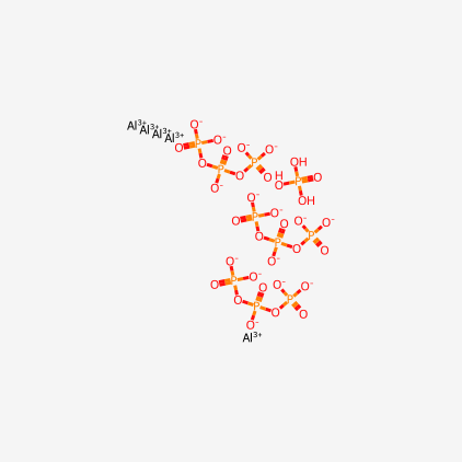 O=P(O)(O)O.O=P([O-])([O-])OP(=O)([O-])OP(=O)([O-])[O-].O=P([O-])([O-])OP(=O)([O-])OP(=O)([O-])[O-].O=P([O-])([O-])OP(=O)([O-])OP(=O)([O-])[O-].[Al+3].[Al+3].[Al+3].[Al+3].[Al+3]